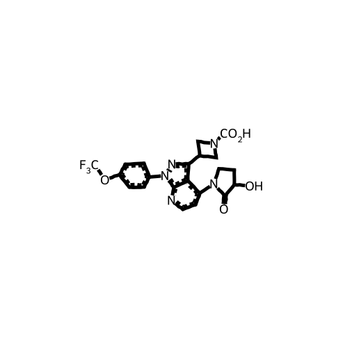 O=C(O)N1CC(c2nn(-c3ccc(OC(F)(F)F)cc3)c3nccc(N4CCC(O)C4=O)c23)C1